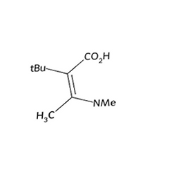 CN/C(C)=C(\C(=O)O)C(C)(C)C